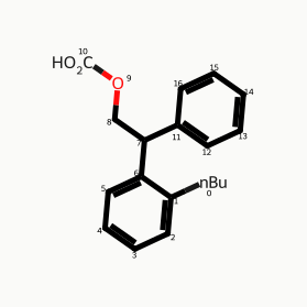 CCCCc1ccccc1C(COC(=O)O)c1ccccc1